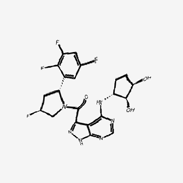 O=C(c1n[nH]c2ncnc(N[C@@H]3CC[C@@H](O)[C@H]3O)c12)N1C[C@@H](F)C[C@@H]1c1cc(F)cc(F)c1F